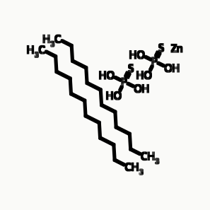 CCCCCCCCCCCC.CCCCCCCCCCCC.OP(O)(O)=S.OP(O)(O)=S.[Zn]